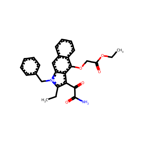 CCOC(=O)COc1c2ccccc2cc2c1c(C(=O)C(N)=O)c(CC)n2Cc1ccccc1